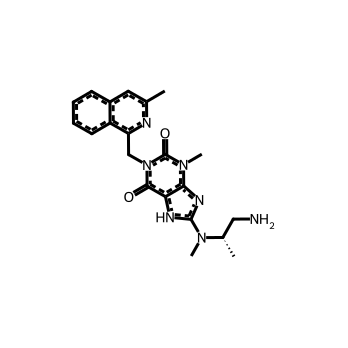 Cc1cc2ccccc2c(Cn2c(=O)c3[nH]c(N(C)[C@@H](C)CN)nc3n(C)c2=O)n1